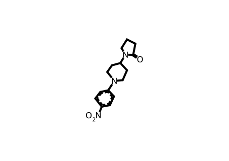 O=C1CCCN1C1CCN(c2ccc([N+](=O)[O-])cc2)CC1